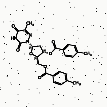 Cc1ccc(C(=O)OC[C@H]2O[C@H](n3nc(C)c(=O)[nH]c3=O)C[C@@H]2OC(=O)c2ccc(C)cc2)cc1